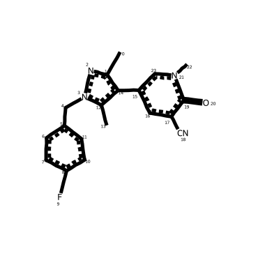 Cc1nn(Cc2ccc(F)cc2)c(C)c1-c1cc(C#N)c(=O)n(C)c1